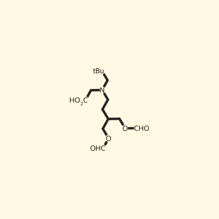 CC(C)(C)CN(CCC(COC=O)COC=O)CC(=O)O